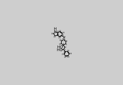 OC(CC1(O)CCN(Cc2ccc3c(c2)CCN3)CC1)c1ccccc1